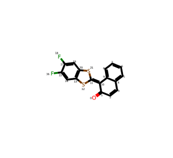 O=C1C=Cc2ccccc2C1=C1Sc2cc(F)c(F)cc2S1